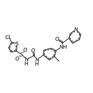 Cc1cc(NC(=O)NS(=O)(=O)c2ccc(Cl)s2)ccc1NC(=O)c1cccnc1